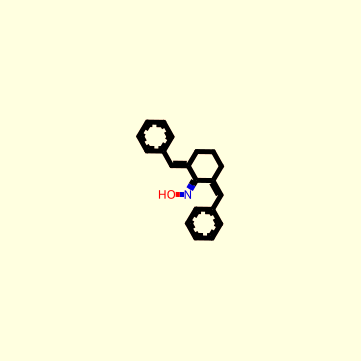 ON=C1C(=Cc2ccccc2)CCCC1=Cc1ccccc1